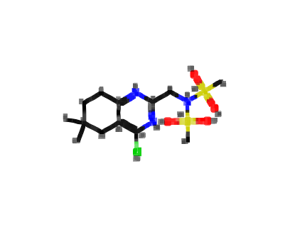 CC1(C)CCc2nc(CN(S(C)(=O)=O)S(C)(=O)=O)nc(Cl)c2C1